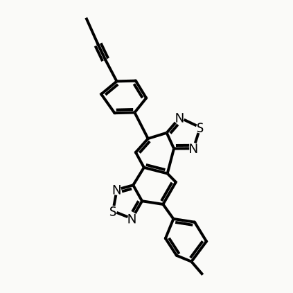 CC#Cc1ccc(-c2cc3c(cc(-c4ccc(C)cc4)c4nsnc43)c3nsnc23)cc1